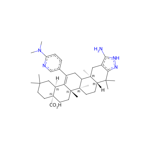 CN(C)c1ccc(C2=C3[C@@H]4CC(C)(C)CC[C@]4(C(=O)O)CC[C@@]3(C)[C@]3(C)CC[C@H]4C(C)(C)c5n[nH]c(N)c5C[C@]4(C)C3C2)cn1